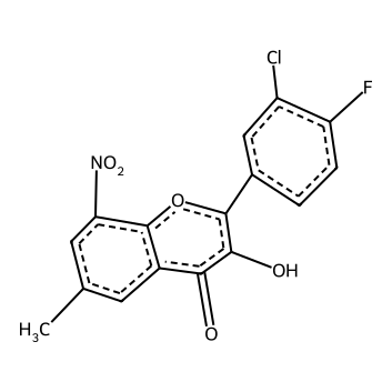 Cc1cc([N+](=O)[O-])c2oc(-c3ccc(F)c(Cl)c3)c(O)c(=O)c2c1